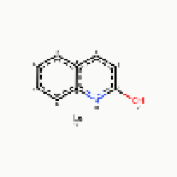 Oc1ccc2ccccc2n1.[La]